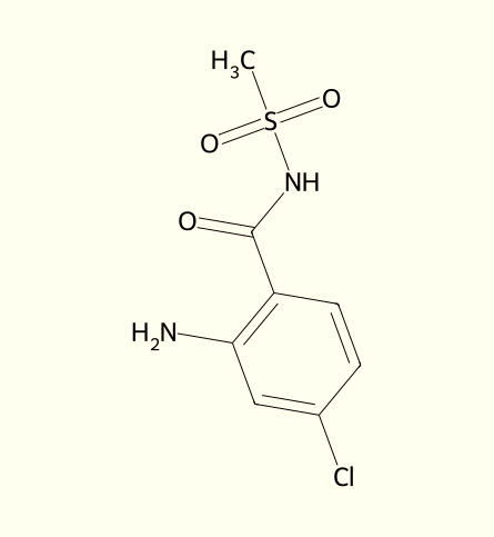 CS(=O)(=O)NC(=O)c1ccc(Cl)cc1N